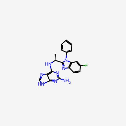 C[C@H](Nc1nc(N)nc2[nH]cnc12)c1nc2ccc(F)cc2n1-c1ccccc1